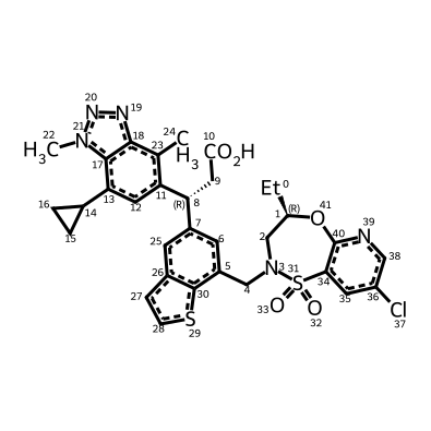 CC[C@@H]1CN(Cc2cc([C@@H](CC(=O)O)c3cc(C4CC4)c4c(nnn4C)c3C)cc3ccsc23)S(=O)(=O)c2cc(Cl)cnc2O1